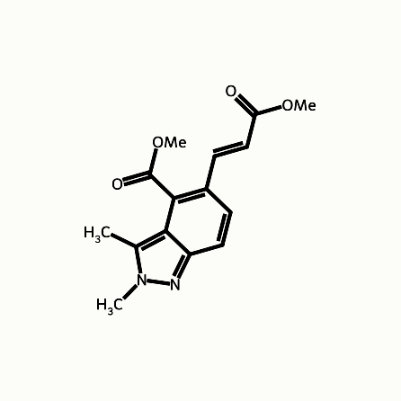 COC(=O)C=Cc1ccc2nn(C)c(C)c2c1C(=O)OC